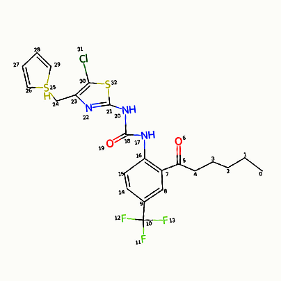 CCCCCC(=O)c1cc(C(F)(F)F)ccc1NC(=O)Nc1nc(C[SH]2C=CC=C2)c(Cl)s1